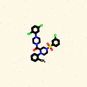 Cc1ccccc1N1CCN(S(=O)(=O)c2cccc(Cl)c2)CC1C(=O)N1CCN(c2cc(Cl)ccc2Cl)CC1